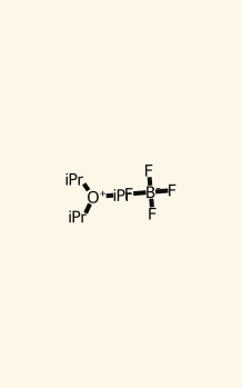 CC(C)[O+](C(C)C)C(C)C.F[B-](F)(F)F